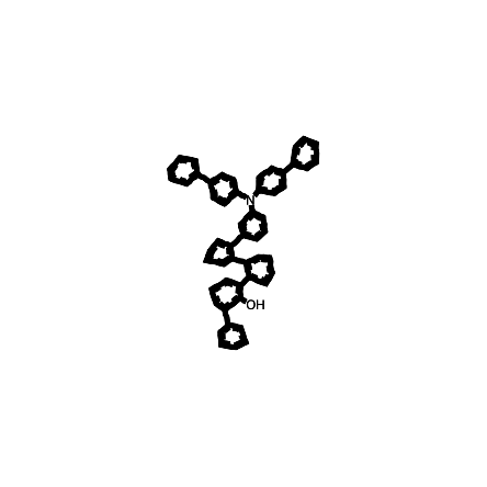 Oc1c(-c2ccccc2)cccc1-c1ccccc1-c1ccccc1-c1cccc(N(c2ccc(-c3ccccc3)cc2)c2ccc(-c3ccccc3)cc2)c1